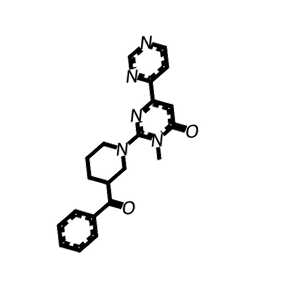 Cn1c(N2CCCC(C(=O)c3ccccc3)C2)nc(-c2ccncn2)cc1=O